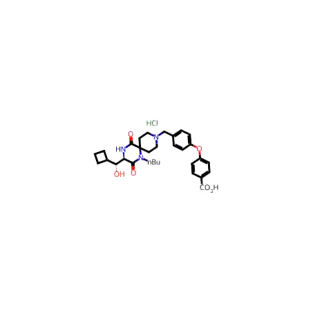 CCCCN1C(=O)[C@@H]([C@H](O)C2CCC2)NC(=O)C12CCN(Cc1ccc(Oc3ccc(C(=O)O)cc3)cc1)CC2.Cl